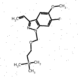 C=Cc1nn(COCC[Si](C)(C)C)c2cc(F)c(OC)cc12